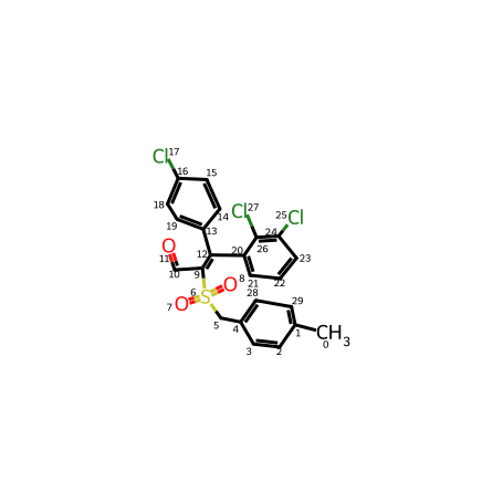 Cc1ccc(CS(=O)(=O)C(C=O)=C(c2ccc(Cl)cc2)c2cccc(Cl)c2Cl)cc1